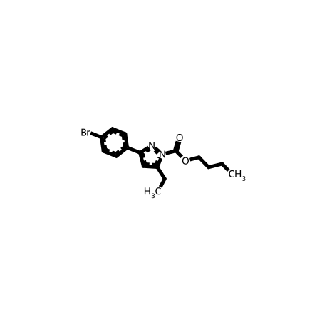 CCCCOC(=O)n1nc(-c2ccc(Br)cc2)cc1CC